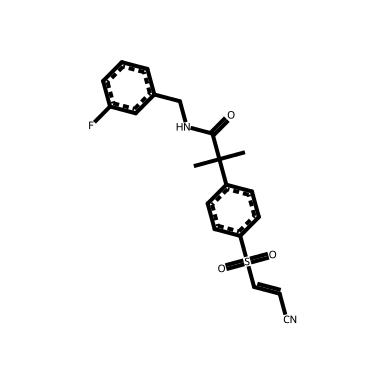 CC(C)(C(=O)NCc1cccc(F)c1)c1ccc(S(=O)(=O)/C=C/C#N)cc1